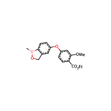 CCOC(=O)c1ccc(Oc2ccc3c(c2)COB3C)cc1OC